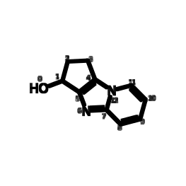 OC1CCc2c1nc1ccccn21